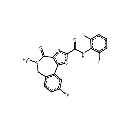 CN1Cc2ccc(Br)cc2-c2sc(C(=O)Nc3c(F)cccc3F)nc2C1=O